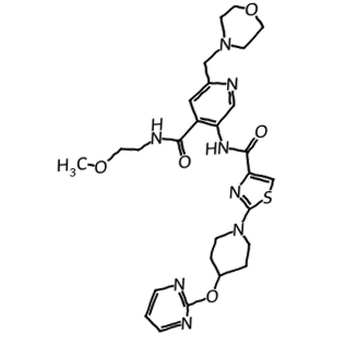 COCCNC(=O)c1cc(CN2CCOCC2)ncc1NC(=O)c1csc(N2CCC(Oc3ncccn3)CC2)n1